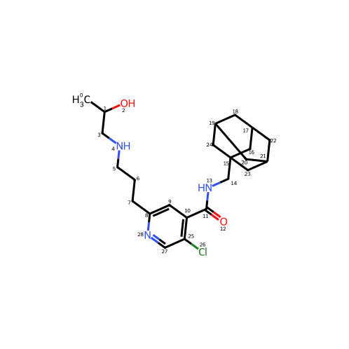 CC(O)CNCCCc1cc(C(=O)NCC23CC4CC(CC(C4)C2)C3)c(Cl)cn1